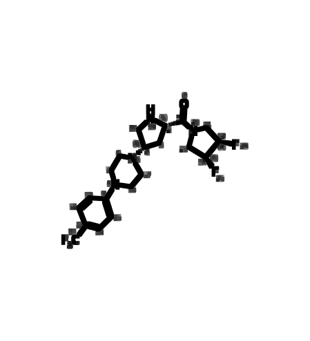 O=C([C@@H]1C[C@H](N2CCN(c3ccc(C(F)(F)F)cc3)CC2)CN1)N1C[C@@H](F)[C@@H](F)C1